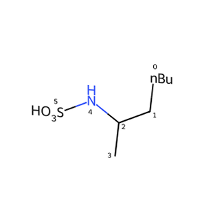 CCCCCC(C)NS(=O)(=O)O